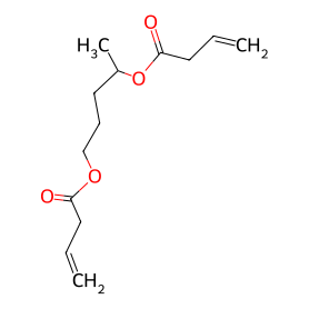 C=CCC(=O)OCCCC(C)OC(=O)CC=C